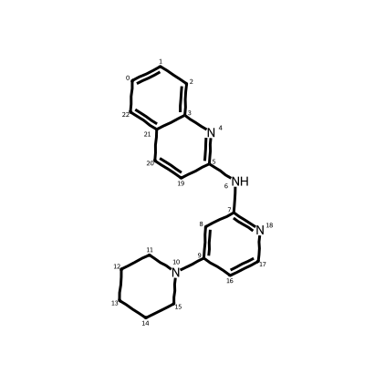 c1ccc2nc(Nc3cc(N4CCCCC4)ccn3)ccc2c1